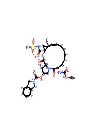 CC(C)S(=O)(=O)NC(=O)[C@@]12C[C@H]1/C=C\CCCCC[C@H](NC(=O)OC(C)(C)C)C(=O)N1C[C@H](OC(=O)N3Cc4ccccc4C3)C[C@H]1C(=O)N2